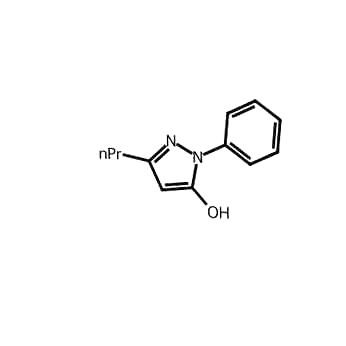 CCCc1cc(O)n(-c2ccccc2)n1